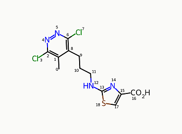 Cc1c(Cl)nnc(Cl)c1CCCNc1nc(C(=O)O)cs1